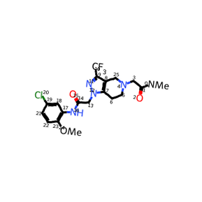 CNC(=O)CN1CCc2c(c(C(F)(F)F)nn2CC(=O)Nc2cc(Cl)ccc2OC)C1